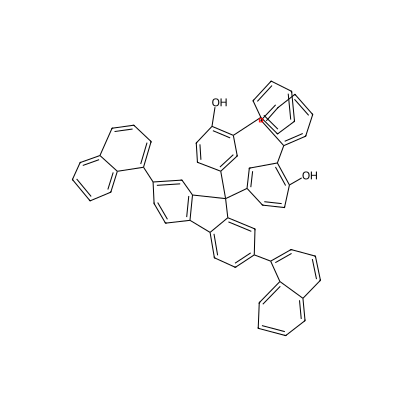 Oc1ccc(C2(c3ccc(O)c(-c4ccccc4)c3)c3cc(-c4cccc5ccccc45)ccc3-c3ccc(-c4cccc5ccccc45)cc32)cc1-c1ccccc1